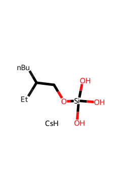 CCCCC(CC)CO[Si](O)(O)O.[CsH]